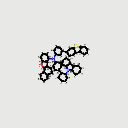 c1cc(-c2ccc3c(c2)sc2ccccc23)cc(N(c2ccc(-c3ccccc3-n3c4ccccc4c4ccccc43)cc2)c2cccc3oc4c5ccccc5ccc4c23)c1